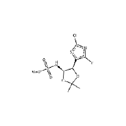 COS(=O)(=O)N[C@@H]1OC(C)(C)O[C@@H]1c1sc(Cl)nc1Cl